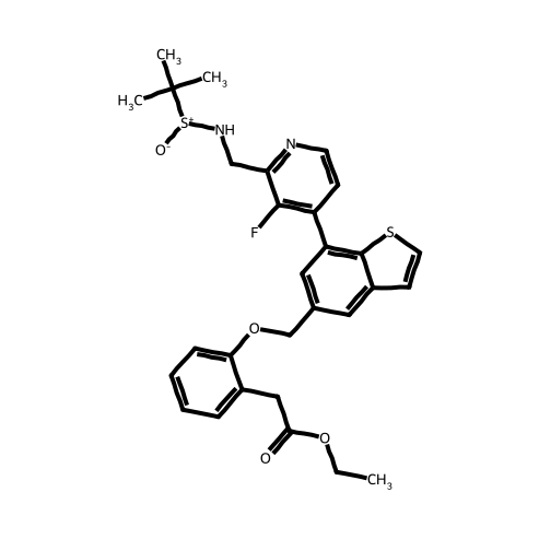 CCOC(=O)Cc1ccccc1OCc1cc(-c2ccnc(CN[S+]([O-])C(C)(C)C)c2F)c2sccc2c1